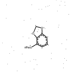 CCCCCc1[c]ccc2c1OCO2